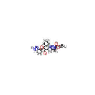 Cn1cc2ccc3c(=O)c(-c4ccc(C5(NC(=O)OC(C)(C)C)CCC5)cc4)c(-c4ccccc4)oc3c2n1